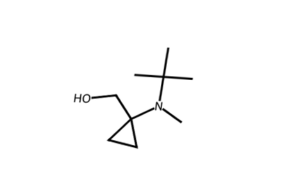 CN(C(C)(C)C)C1(CO)CC1